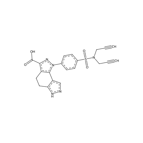 C#CCN(CC#C)S(=O)(=O)c1ccc(-n2nc(C(=O)O)c3c2-c2cn[nH]c2CC3)cc1